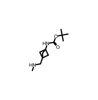 CNCC12CC(NC(=O)OC(C)(C)C)(C1)C2